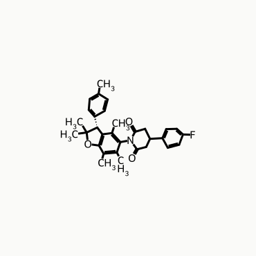 Cc1ccc([C@@H]2c3c(C)c(N4C(=O)CC(c5ccc(F)cc5)CC4=O)c(C)c(C)c3OC2(C)C)cc1